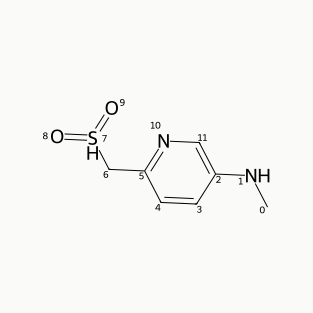 CNc1ccc(C[SH](=O)=O)nc1